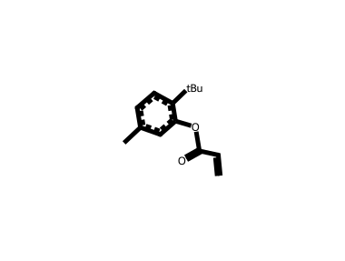 C=CC(=O)Oc1cc(C)ccc1C(C)(C)C